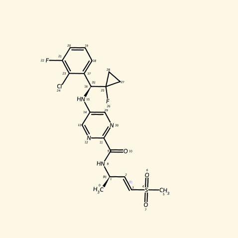 C[C@H](/C=C/S(C)(=O)=O)NC(=O)c1ncc(N[C@@H](c2cccc(F)c2Cl)C2(F)CC2)cn1